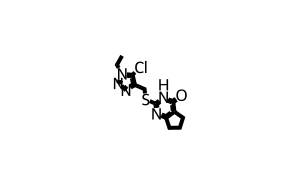 CCn1nnc(CSc2nc3c(c(=O)[nH]2)CCC3)c1Cl